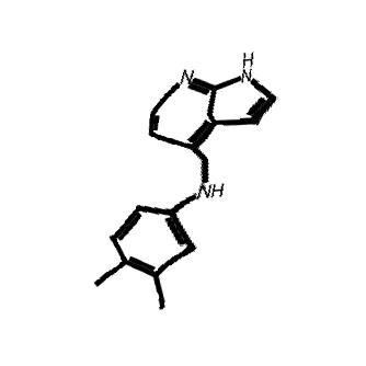 Cc1ccc(Nc2ccnc3[nH]ccc23)cc1C